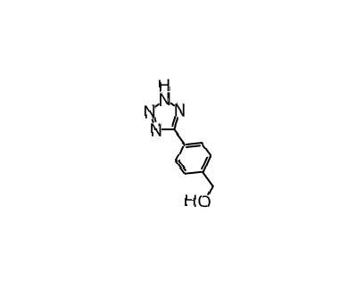 OCc1ccc(-c2nn[nH]n2)cc1